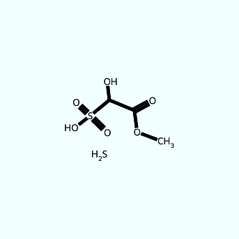 COC(=O)C(O)S(=O)(=O)O.S